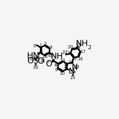 Cc1ccc(NC(=O)c2ccc3c(c2)c(-c2ccc(N)cc2C)nn3C)cc1NS(C)(=O)=O